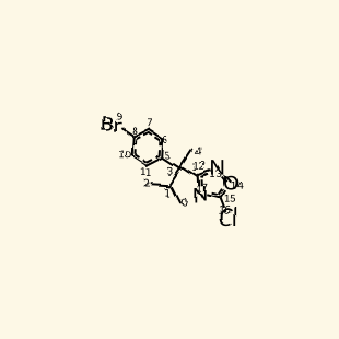 CC(C)C(C)(c1ccc(Br)cc1)c1noc(Cl)n1